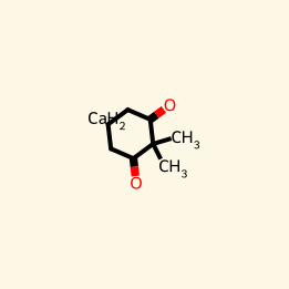 CC1(C)C(=O)CCCC1=O.[CaH2]